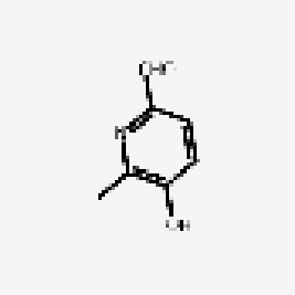 Cc1nc(C=O)ccc1O